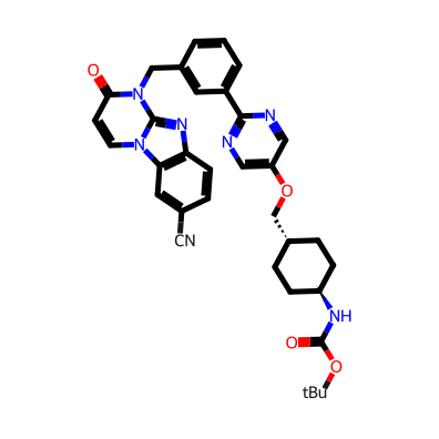 CC(C)(C)OC(=O)N[C@H]1CC[C@H](COc2cnc(-c3cccc(Cn4c(=O)ccn5c6cc(C#N)ccc6nc45)c3)nc2)CC1